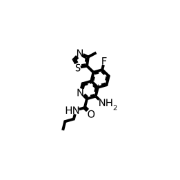 CCCNC(=O)c1ncc2c(-c3scnc3C)c(F)ccc2c1N